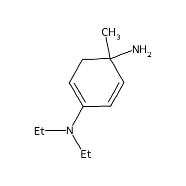 CCN(CC)C1=CCC(C)(N)C=C1